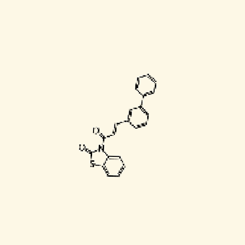 O=C(/C=C/c1cccc(-c2ccccc2)c1)n1c(=O)sc2ccccc21